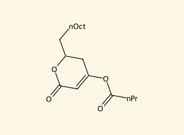 CCCCCCCCCC1CC(OC(=O)CCC)=CC(=O)O1